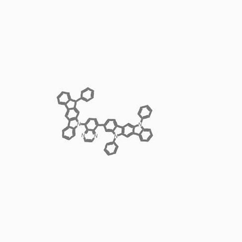 c1ccc(C2c3ccccc3-c3cc4c5ccccc5n(-c5ccc(-c6ccc7c8cc9c(cc8n(-c8ccccc8)c7c6)c6ccccc6n9-c6ccccc6)c6nccnc56)c4cc32)cc1